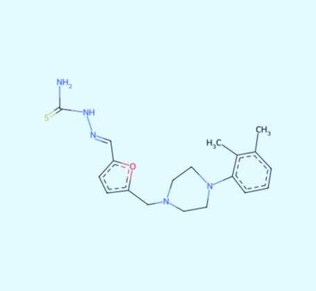 Cc1cccc(N2CCN(Cc3ccc(/C=N/NC(N)=S)o3)CC2)c1C